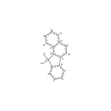 CC1(C)c2[c]cccc2-c2ccc3ccccc3c21